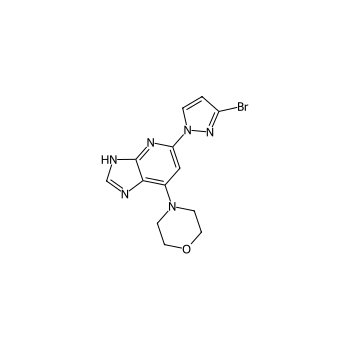 Brc1ccn(-c2cc(N3CCOCC3)c3nc[nH]c3n2)n1